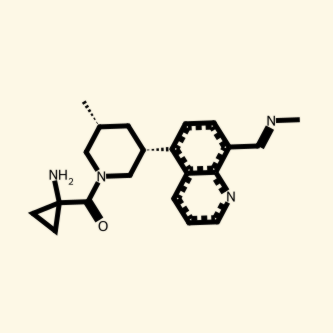 C/N=C/c1ccc([C@H]2C[C@@H](C)CN(C(=O)C3(N)CC3)C2)c2cccnc12